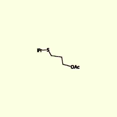 CC(=O)OCCCSC(C)C